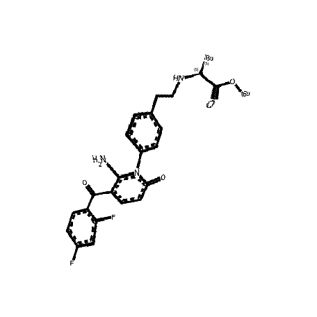 CC[C@H](C)[C@H](NCCc1ccc(-n2c(N)c(C(=O)c3ccc(F)cc3F)ccc2=O)cc1)C(=O)OC(C)(C)C